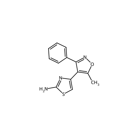 Cc1onc(-c2ccccc2)c1-c1csc(N)n1